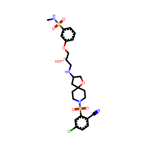 CNS(=O)(=O)c1cccc(OC[C@@H](O)CNC2COC3(CCN(S(=O)(=O)c4cc(Cl)ccc4C#N)CC3)C2)c1